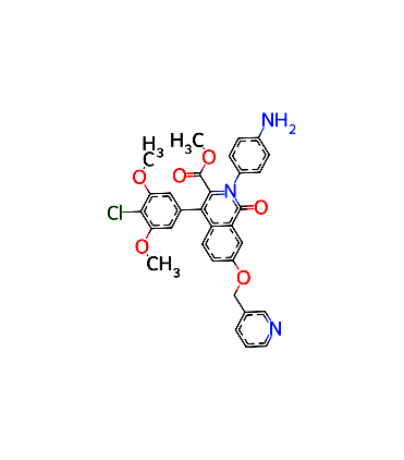 COC(=O)c1c(-c2cc(OC)c(Cl)c(OC)c2)c2ccc(OCc3cccnc3)cc2c(=O)n1-c1ccc(N)cc1